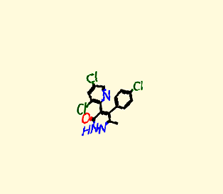 Cc1n[nH]c(=O)c(-c2ncc(Cl)cc2Cl)c1-c1ccc(Cl)cc1